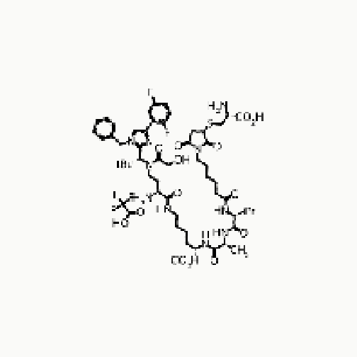 CC(C)[C@H](NC(=O)CCCCCN1C(=O)CC(SC[C@H](N)C(=O)O)C1=O)C(=O)N[C@@H](C)C(=O)N[C@@H](CCCCNC(=O)[C@@H](N)CCN(C(=O)CO)[C@@H](c1nc(-c2cc(F)ccc2F)cn1Cc1ccccc1)C(C)(C)C)C(=O)O.O=C(O)C(F)(F)F